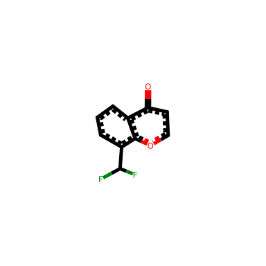 O=c1ccoc2c(C(F)F)cccc12